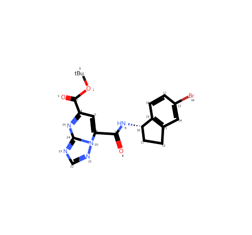 CC(C)(C)OC(=O)c1cc(C(=O)N[C@H]2CCc3cc(Br)ccc32)n2ncnc2n1